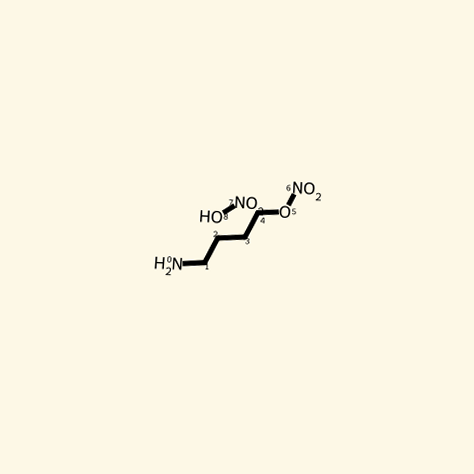 NCCCCO[N+](=O)[O-].O=[N+]([O-])O